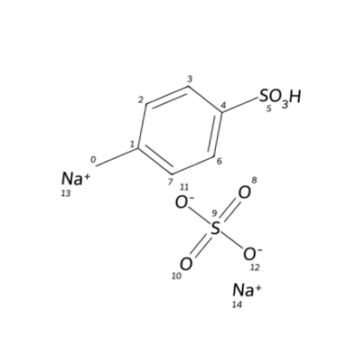 Cc1ccc(S(=O)(=O)O)cc1.O=S(=O)([O-])[O-].[Na+].[Na+]